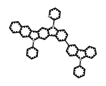 c1ccc(-n2c3ccccc3c3cc(-c4ccc5c(c4)c4cc6c(cc4n5-c4ccccn4)c4cc5ccccc5cc4n6-c4ccccc4)ccc32)cc1